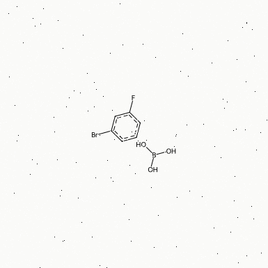 Fc1cccc(Br)c1.OB(O)O